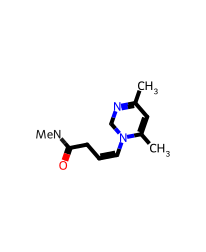 CNC(=O)C/C=C\N1CN=C(C)C=C1C